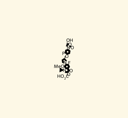 COc1c(N2CC[C@H](COc3ccc(N4C[C@H](CO)OC4=O)cc3F)C2)c(F)cc2c(=O)c(OC(=O)O)cn(C3CC3)c12